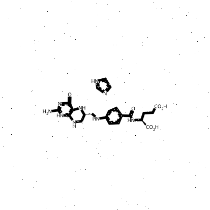 Nc1nc(=O)c2c([nH]1)NC[C@@H](CNc1ccc(C(=O)N[C@@H](CCC(=O)O)C(=O)O)cc1)N2.c1c[nH]cn1